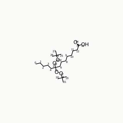 CCCCCC(CCCCCCCC(=O)O)(OOC(C)(C)C)OOC(C)(C)C